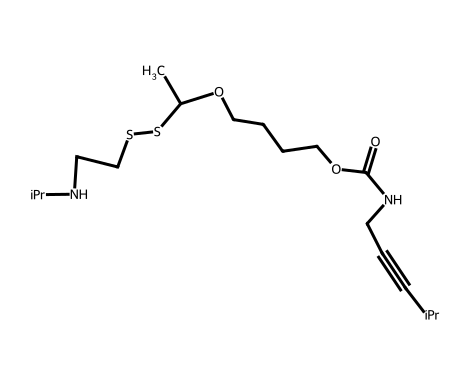 CC(C)C#CCNC(=O)OCCCCOC(C)SSCCNC(C)C